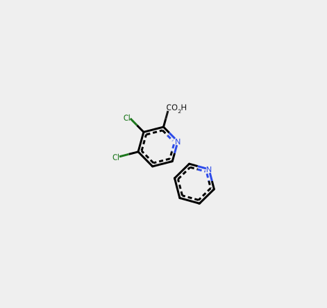 O=C(O)c1nccc(Cl)c1Cl.c1ccncc1